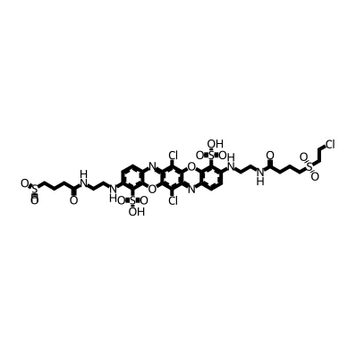 O=C(CCC[SH](=O)=O)NCCNc1ccc2c(c1S(=O)(=O)O)Oc1c(Cl)c3c(c(Cl)c1=N2)Oc1c(ccc(NCCNC(=O)CCCS(=O)(=O)CCCl)c1S(=O)(=O)O)N=3